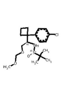 COCOC[C@H](N[S@@+]([O-])C(C)(C)C)C1(c2ccc(Cl)cc2)CCC1